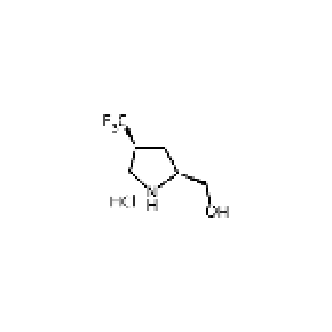 Cl.OC[C@@H]1C[C@H](C(F)(F)F)CN1